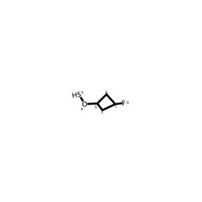 FC1CC(OS)C1